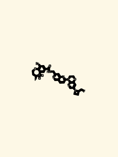 O=C(NCc1cc2nc(N3CCOc4cc(N5CCC5CF)cnc43)ccc2cn1)c1cc(Br)c2c(c1)S(=O)(=O)C(F)CCO2